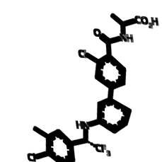 Cc1cc([C@H](Nc2cccc(-c3ccc(C(=O)NC(C)C(=O)O)c(Cl)c3)c2)C(F)(F)F)ccc1Cl